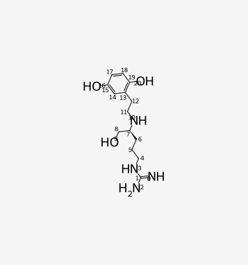 N=C(N)NCCC[C@@H](CO)NCCc1cc(O)ccc1O